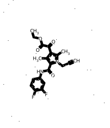 C#CCn1c(C)c(C(=O)C(=O)OCC)c(C)c1C(=O)Nc1ccc(F)c(F)c1